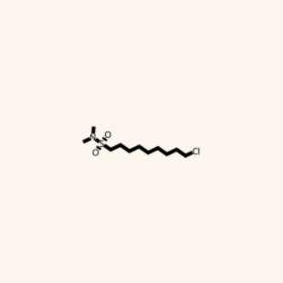 CN(C)S(=O)(=O)CCCCCCCCCCl